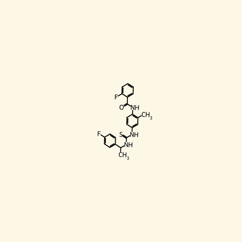 Cc1cc(NC(=S)NC(C)c2ccc(F)cc2)ccc1NC(=O)c1ccccc1F